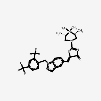 C[C@@H]1CN(C2=NC(=O)/C(=C/c3ccc4c(cnn4Cc4ccc(C(F)(F)F)cc4C(F)(F)F)c3)S2)C[C@H](C)[N+]1(C)C